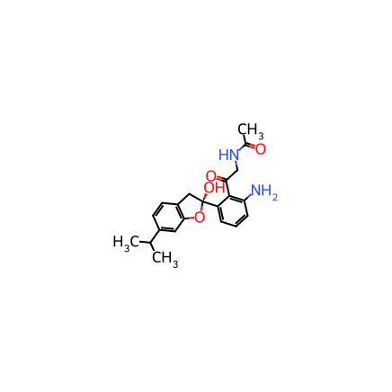 CC(=O)NCC(=O)c1c(N)cccc1[C@@]1(O)Cc2ccc(C(C)C)cc2O1